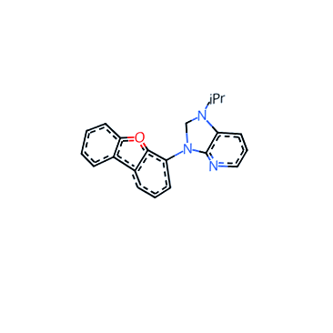 CC(C)N1CN(c2cccc3c2oc2ccccc23)c2ncccc21